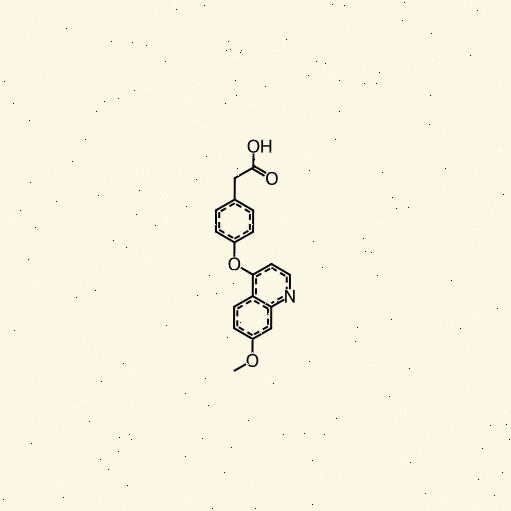 COc1ccc2c(Oc3ccc(CC(=O)O)cc3)ccnc2c1